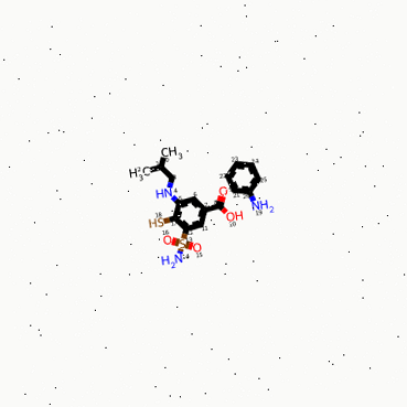 CC(C)CNc1cc(C(=O)O)cc(S(N)(=O)=O)c1S.Nc1ccccc1